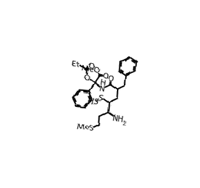 CCC(=O)OC(NC(=O)C(Cc1ccccc1)CC(SS)C(N)CCSC)(C(=O)OC)c1ccccc1